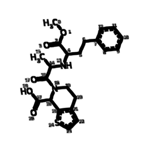 COC(=O)C(CCc1ccccc1)NC(C)C(=O)N1CCc2ccsc2C1C(=O)O